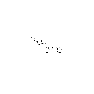 CN(C)Cc1ccc(C(=O)Nc2sc(Nc3ccncc3)nc2C(N)=O)cc1